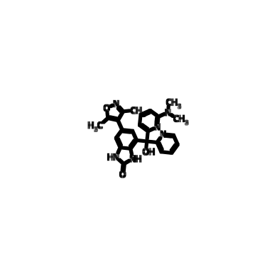 Cc1noc(C)c1-c1cc(C(O)(c2ccccn2)c2cccc(N(C)C)n2)c2[nH]c(=O)[nH]c2c1